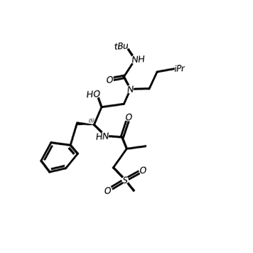 CC(C)CCN(CC(O)[C@H](Cc1ccccc1)NC(=O)C(C)CS(C)(=O)=O)C(=O)NC(C)(C)C